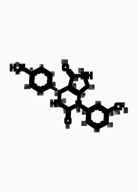 Nc1ccc([C@H]2NC(=O)N(c3cccc(C(F)(F)F)c3)C3=C2C(=O)NC3)cc1